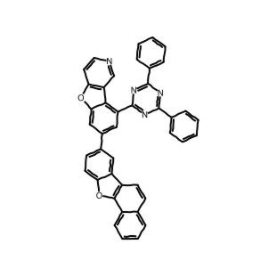 c1ccc(-c2nc(-c3ccccc3)nc(-c3cc(-c4ccc5oc6c7ccccc7ccc6c5c4)cc4oc5ccncc5c34)n2)cc1